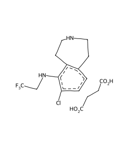 FC(F)(F)CNc1c(Cl)ccc2c1CCNCC2.O=C(O)CCC(=O)O